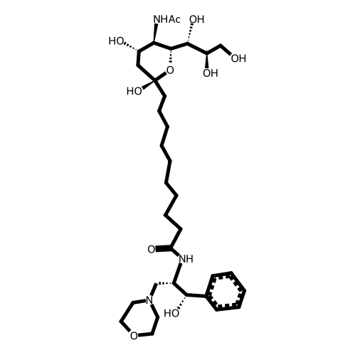 CC(=O)N[C@H]1[C@H]([C@H](O)[C@H](O)CO)O[C@](O)(CCCCCCCCCC(=O)N[C@@H](CN2CCOCC2)[C@@H](O)c2ccccc2)C[C@@H]1O